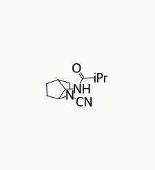 CC(C)C(=O)NC1C2CCC1N(C#N)C2